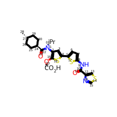 CC(C)N(c1cc(-c2ccc(NC(=O)c3cscn3)s2)sc1OC(=O)O)C(=O)[C@H]1CC[C@H](C)CC1